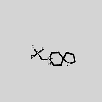 F[B-](F)(F)C[NH+]1CCC2(CCCO2)CC1